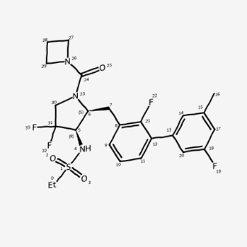 CCS(=O)(=O)N[C@@H]1[C@H](Cc2cccc(-c3cc(C)cc(F)c3)c2F)N(C(=O)N2CCC2)CC1(F)F